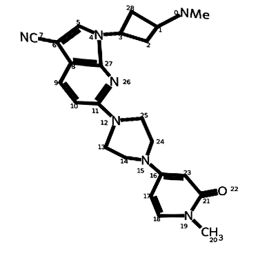 CNC1CC(n2cc(C#N)c3ccc(N4CCN(c5ccn(C)c(=O)c5)CC4)nc32)C1